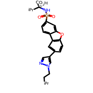 CC(C)CCn1cc(-c2ccc3oc4cc(S(=O)(=O)N[C@H](C(=O)O)C(C)C)ccc4c3c2)cn1